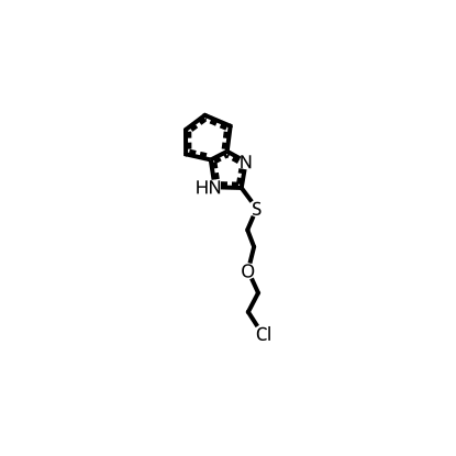 ClCCOCCSc1nc2ccccc2[nH]1